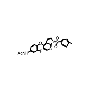 CC(=O)Nc1ccc(Oc2ccnc3c2ccn3S(=O)(=O)c2ccc(C)cc2)c(F)c1